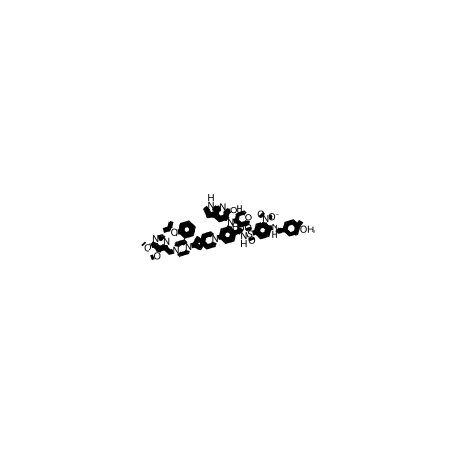 COc1ncnc(CN2CCN(C3CC4(CCN(c5ccc(C(=O)NS(=O)(=O)c6ccc(NCC7CCC(C)(O)CC7)c([N+](=O)[O-])c6)c(N6c7cc8cc[nH]c8nc7O[C@H]7COCC[C@@H]76)c5)CC4)C3)[C@@H](c3ccccc3OC(C)C)C2)c1OC